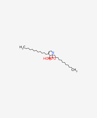 CCCCCCCCCCCCC1=CC=NC(CCCCCCCCCCCC)(C(=O)O)C1C(=O)O